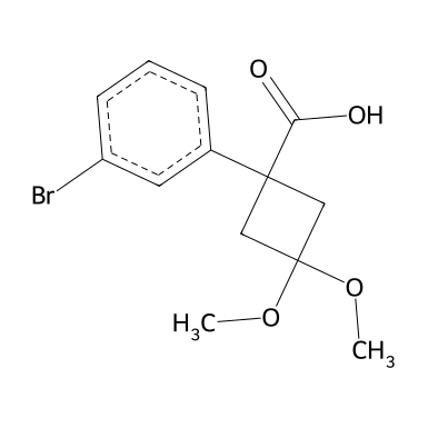 COC1(OC)CC(C(=O)O)(c2cccc(Br)c2)C1